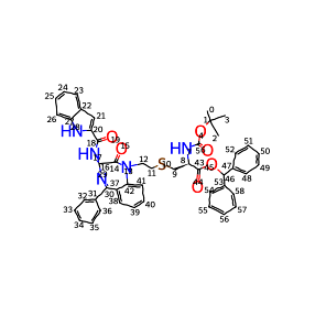 CC(C)(C)OC(=O)N[C@H](CSCCN1C(=O)[C@H](NC(=O)c2cc3ccccc3[nH]2)N=C(c2ccccc2)c2ccccc21)C(=O)OC(c1ccccc1)c1ccccc1